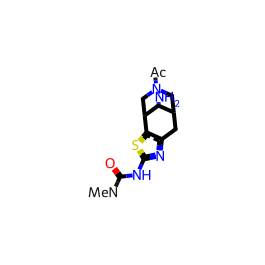 CNC(=O)Nc1nc2c(s1)C1CN(C(C)=O)CC(C2)C1N